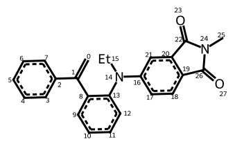 C=C(c1ccccc1)c1ccccc1N(CC)c1ccc2c(c1)C(=O)N(C)C2=O